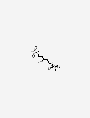 CS(=O)(=O)OCCC(O)CCOS(C)(=O)=O